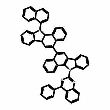 C1=C(c2cc3c4ccccc4n(-c4nc(-c5ccccc5)c5ccccc5n4)c3c3ccccc23)c2ccccc2C2C1c1ccccc1N2c1cccc2ccccc12